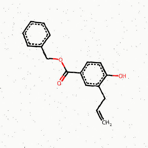 C=CCc1cc(C(=O)OCc2ccccc2)ccc1O